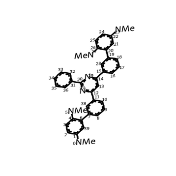 CNc1ccc(NC)c(-c2cccc(-c3cc(-c4cccc(-c5cc(NC)ccc5NC)c4)nc(-c4ccccc4)n3)c2)c1